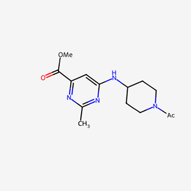 COC(=O)c1cc(NC2CCN(C(C)=O)CC2)nc(C)n1